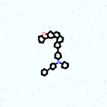 c1ccc(-c2ccc(N(c3ccccc3)c3ccc(-c4ccc5c(ccc6ccc7cc8oc9ccccc9c8cc7c65)c4)cc3)cc2)cc1